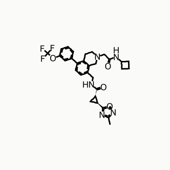 Cc1noc([C@H]2C[C@@H]2C(=O)NCc2ccc(-c3cccc(OC(F)(F)F)c3)c3c2CN(CC(=O)NC2CCC2)CC3)n1